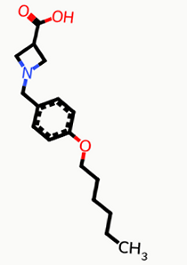 CCCCCCOc1ccc(CN2CC(C(=O)O)C2)cc1